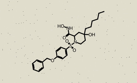 CCCCCCC1(O)CCN(S(=O)(=O)c2ccc(OCc3ccccc3)cc2)C(C(=O)NO)C1